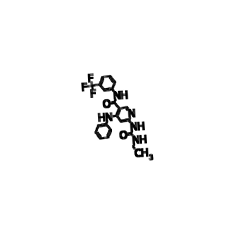 CCNC(=O)Nc1cc(Nc2ccccc2)c(C(=O)Nc2cccc(C(F)(F)F)c2)cn1